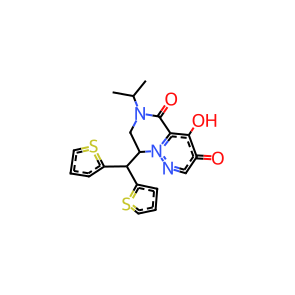 CC(C)N1CC(C(c2cccs2)c2cccs2)n2ncc(=O)c(O)c2C1=O